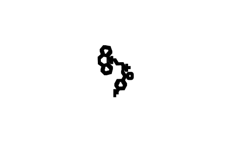 CN(CCCN1c2ccccc2CCc2ccccc21)CC(=O)c1ccc(F)cc1